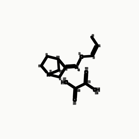 C/C=C\O/N=C1/CN2CCC1C2.O=C(O)C(=O)O